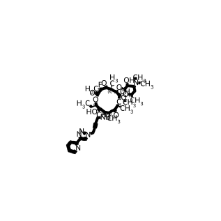 CC[C@H]1OC(=O)[C@@](C)(F)C(=O)[C@H](C)[C@@H](O[C@@H]2O[C@H](C)CC(N(C)C)C2O)[C@](C)(OC)C[C@@H](C)C(=O)[C@H](C)[C@@H](NCC#CCn2cc(-c3ccccn3)nn2)[C@]1(C)O